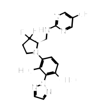 Cc1c(N2CCC(F)(F)[C@H]2CNc2ncc(C(F)(F)F)cn2)ccc(C=O)c1-n1nccn1